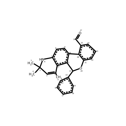 CC1=CC(C)(C)Nc2ccc3c(c21)C(c1ccccc1)Oc1cccc(C=O)c1-3